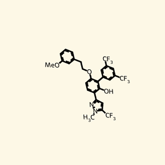 COc1cccc(CCOc2ccc(-c3cc(C(F)(F)F)n(C)n3)c(O)c2-c2cc(C(F)(F)F)cc(C(F)(F)F)c2)c1